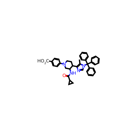 Cc1c(C2CCN(c3ccc(C(=O)O)cc3)CC2NC(=O)C2CC2)ncn1C(c1ccccc1)(c1ccccc1)c1ccccc1